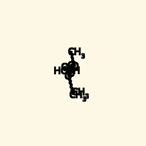 CCCCCCCC(=O)OC(=O)CC(O)(CC(=O)OCCCCCCCCC(C)C)C(=O)O